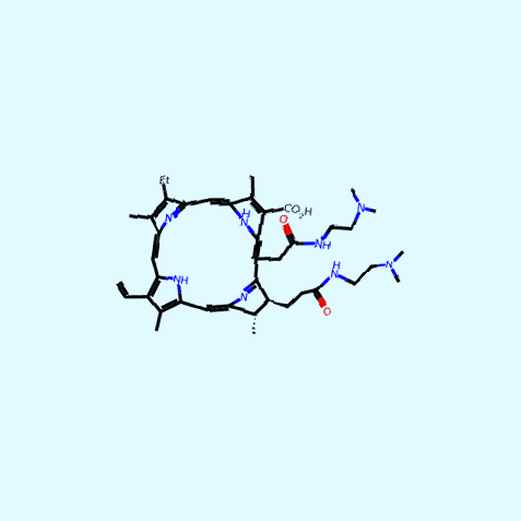 C=Cc1c(C)c2cc3nc(c(CC(=O)NCCN(C)C)c4[nH]c(cc5nc(cc1[nH]2)C(C)=C5CC)c(C)c4C(=O)O)[C@@H](CCC(=O)NCCN(C)C)[C@@H]3C